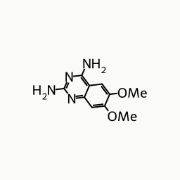 COc1cc2nc(N)nc(N)c2cc1OC